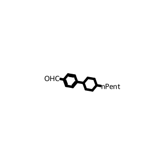 CCCCCC1CCC(c2ccc(C=O)cc2)CC1